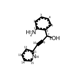 Nc1ccccc1C(O)C#Cc1ccccn1